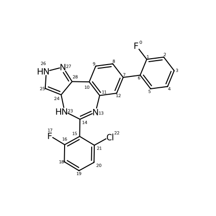 Fc1ccccc1-c1ccc2c(c1)N=C(c1c(F)cccc1Cl)Nc1c[nH]nc1-2